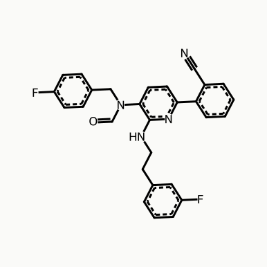 N#Cc1ccccc1-c1ccc(N(C=O)Cc2ccc(F)cc2)c(NCCc2cccc(F)c2)n1